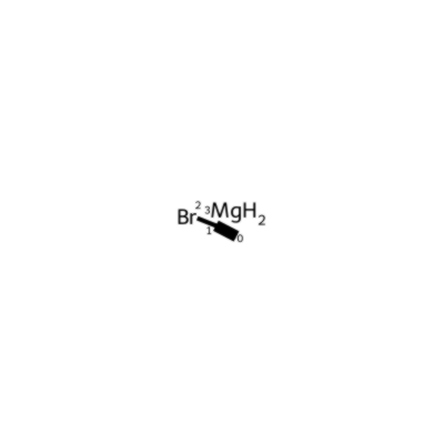 C#CBr.[MgH2]